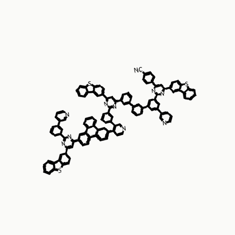 N#Cc1ccc(-c2cc(-c3ccc4sc5ccccc5c4c3)nc(-c3cc(-c4cccnc4)cc(-c4cccc(-c5cccc(-c6cc(-c7ccc8sc9ccccc9c8c7)nc(-c7cccc(-c8cnccc8-c8ccc9c%10ccc(-c%11cc(-c%12ccc%13sc%14ccccc%14c%13c%12)nc(-c%12cccc(-c%13cccnc%13)c%12)n%11)cc%10c%10ccccc%10c9c8)c7)n6)c5)c4)c3)n2)cc1